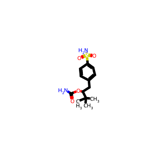 CC(C)(C)C(Cc1ccc(S(N)(=O)=O)cc1)OC(N)=O